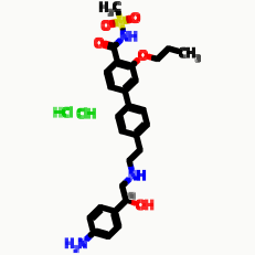 CCCOc1cc(-c2ccc(CCNC[C@@H](O)c3ccc(N)cc3)cc2)ccc1C(=O)NS(C)(=O)=O.Cl.Cl